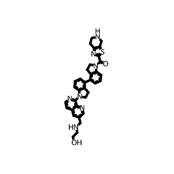 O=C(c1nc2c(s1)CNCC2)N1CCc2c(-c3cccc4c3CCN4c3nccc4cc(CNCCO)cnc34)cccc21